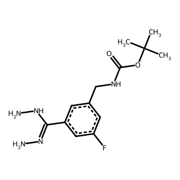 CC(C)(C)OC(=O)NCc1cc(F)cc(/C(=N/N)NN)c1